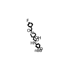 CCCCOc1ccc(NC(=O)CC2(O)CCN(C(=O)Cc3ccc(F)cc3)CC2)cc1